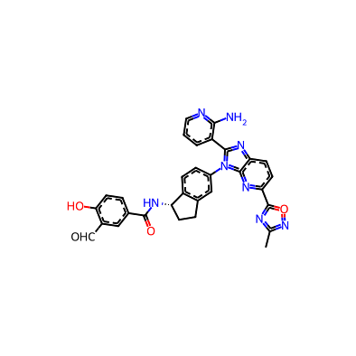 Cc1noc(-c2ccc3nc(-c4cccnc4N)n(-c4ccc5c(c4)CC[C@@H]5NC(=O)c4ccc(O)c(C=O)c4)c3n2)n1